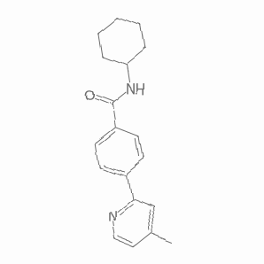 Cc1ccnc(-c2ccc(C(=O)NC3CCCCC3)cc2)c1